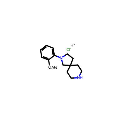 COc1ccccc1N1CCC2(CCNCC2)C1.[Cl-].[H+]